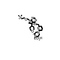 C[C@@H]1CN(c2cccc(CNc3ncnc4c3c(C3CCOCC3)cn4COCC[Si](C)(C)C)n2)C[C@H](C)N1C(=O)O